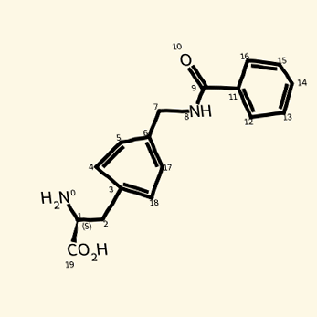 N[C@@H](Cc1ccc(CNC(=O)c2ccccc2)cc1)C(=O)O